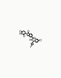 O=C1CCC(N2Cc3cc(C(=O)N[C@H](c4ccc(Cl)cn4)C4CC(F)C4)ccc3C2=O)C(=O)N1